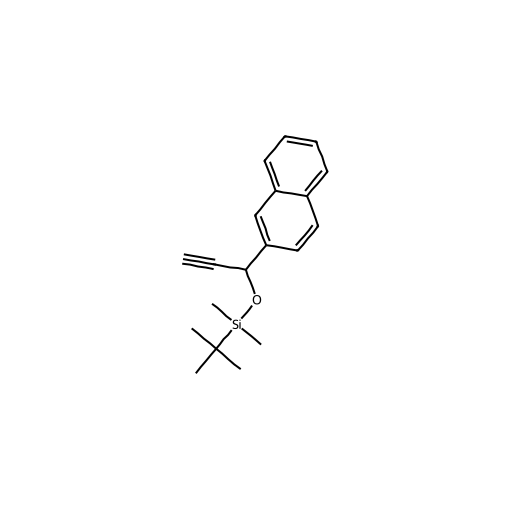 C#CC(O[Si](C)(C)C(C)(C)C)c1ccc2ccccc2c1